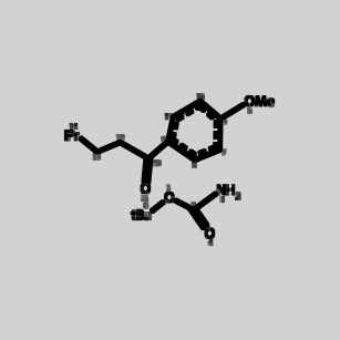 CC(C)(C)OC(N)=O.COc1ccc(C(=O)CCC(C)C)cc1